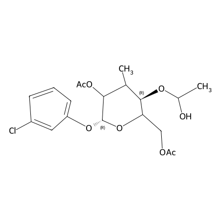 CC(=O)OCC1O[C@H](Oc2cccc(Cl)c2)C(OC(C)=O)C(C)[C@H]1OC(C)O